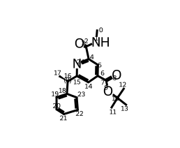 CNC(=O)c1cc(C(=O)OC(C)(C)C)cc([C@H](C)c2ccccc2)n1